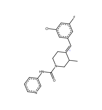 CC1CN(C(=O)Nc2cccnc2)CC/C1=C\c1cc(F)cc(Cl)c1